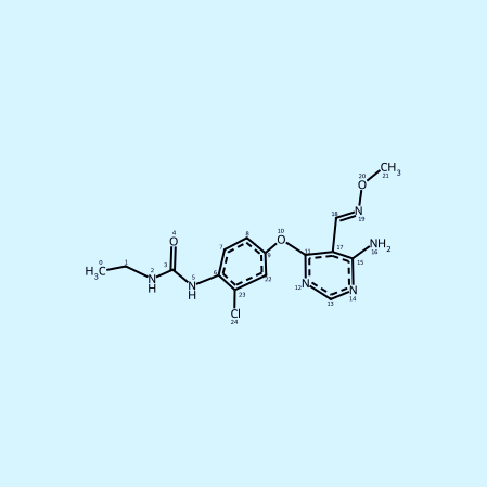 CCNC(=O)Nc1ccc(Oc2ncnc(N)c2C=NOC)cc1Cl